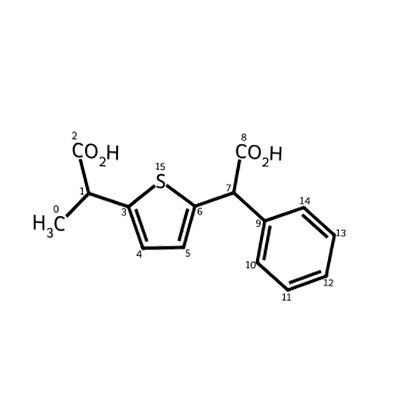 CC(C(=O)O)c1ccc(C(C(=O)O)c2ccccc2)s1